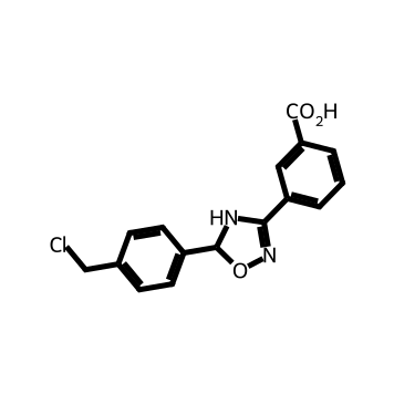 O=C(O)c1cccc(C2=NOC(c3ccc(CCl)cc3)N2)c1